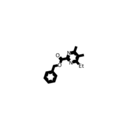 CCc1nc(C(=O)OCc2ccccc2)nc(C)c1C